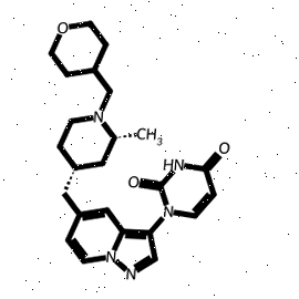 C[C@@H]1C[C@H](Cc2ccn3ncc(-n4ccc(=O)[nH]c4=O)c3c2)CCN1CC1CCOCC1